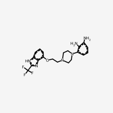 Nc1cccc(N2CCN(CCOc3cccc4[nH]c(C(F)(F)F)nc34)CC2)c1N